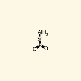 O=[P](=O)[Sr][AlH2]